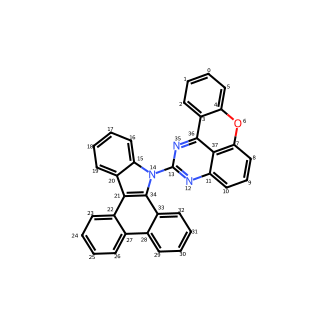 c1ccc2c(c1)Oc1cccc3nc(-n4c5ccccc5c5c6ccccc6c6ccccc6c54)nc-2c13